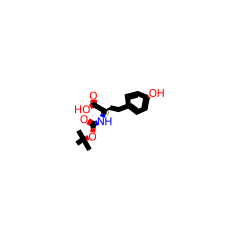 CC(C)(C)OC(=O)N[C@H](CCc1ccc(O)cc1)C(=O)O